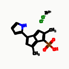 CC1=C2C(=CC(C)=C2S(=O)(=O)O)C(c2ccc[nH]2)=C1.[Cl-].[Cl-].[Zr+2]